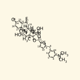 CN(C)c1cccc(Cc2ccc([C@@H]3O[C@@H]4C[C@H]5[C@@H]6C[C@H](F)C7=CC(=O)C=C[C@]7(C)[C@@]6(F)[C@@H](O)C[C@]5(C)[C@]4(C(=O)CO)O3)s2)c1